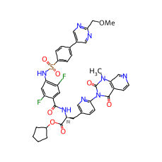 COCc1ncc(-c2ccc(S(=O)(=O)Nc3cc(F)c(C(=O)N[C@@H](Cc4ccc(-n5c(=O)c6ccncc6n(C)c5=O)nc4)C(=O)OC4CCCC4)cc3F)cc2)cn1